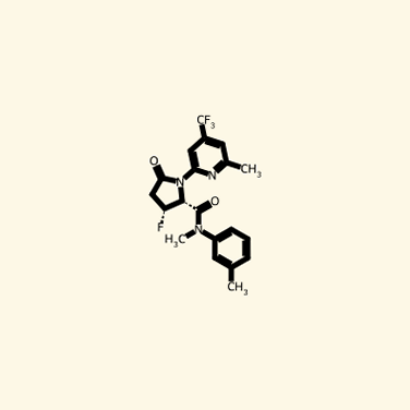 Cc1cccc(N(C)C(=O)[C@@H]2[C@H](F)CC(=O)N2c2cc(C(F)(F)F)cc(C)n2)c1